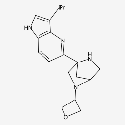 CC(C)c1c[nH]c2ccc(C34CC(CN3)N(C3COC3)C4)nc12